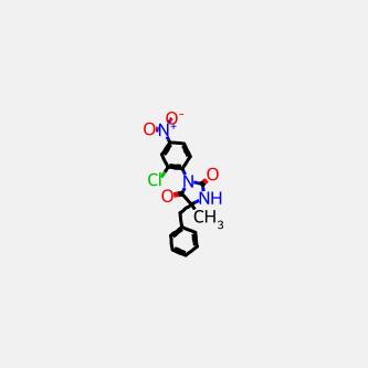 CC1(Cc2ccccc2)NC(=O)N(c2ccc([N+](=O)[O-])cc2Cl)C1=O